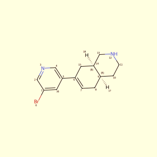 Brc1cncc(C2=CC[C@@H]3CCNC[C@@H]3C2)c1